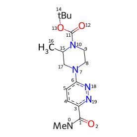 CNC(=O)c1ccc(N2CCN(C(=O)OC(C)(C)C)C(C)C2)nn1